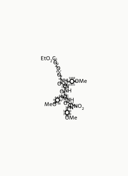 CCOC(=O)COCCOCCOCCNC(=O)c1cc(NC(=O)c2cc(NC(=O)c3cc([N+](=O)[O-])nn3Cc3ccc(OC)cc3)nn2Cc2ccc(OC)cc2)nn1Cc1ccc(OC)cc1